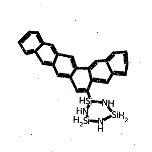 c1ccc2cc3cc4c(cc([SiH]5N[SiH2]N[SiH2]N5)c5cc6ccccc6cc54)cc3cc2c1